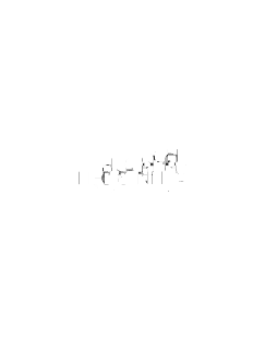 CC1C(C(=O)OCc2ccccc2)CC1C(=O)OC1CCC2(C)C(CCC3(C)C4CCC5(C)CCCC5C4CCC23)C1N